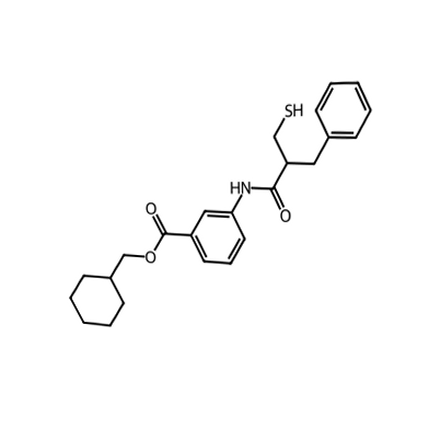 O=C(OCC1CCCCC1)c1cccc(NC(=O)C(CS)Cc2ccccc2)c1